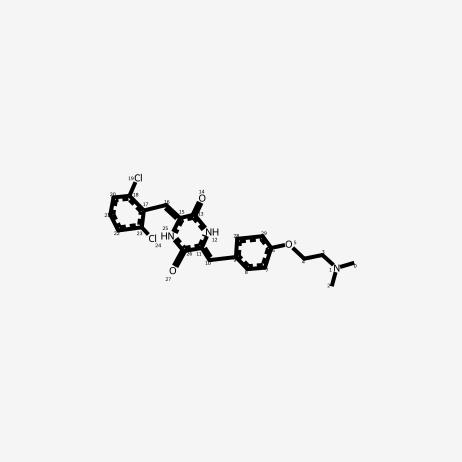 CN(C)CCOc1ccc(/C=c2\[nH]c(=O)/c(=C/c3c(Cl)cccc3Cl)[nH]c2=O)cc1